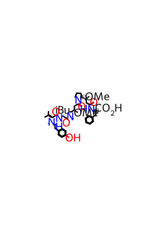 CCC(C)C(C(CC(=O)N1CCC[C@H]1C(CC(=O)N[C@@H](Cc1ccccc1)C(=O)O)OC)OC)N(C)C(=O)CNC(=O)C(=C(C)C)N(C)CCc1ccc(O)cc1